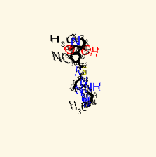 CN1CC[C@](O)(c2cc(C#N)cc(-c3csc(-c4ccnc(Nc5ccn(C)n5)n4)n3)c2)C1=O